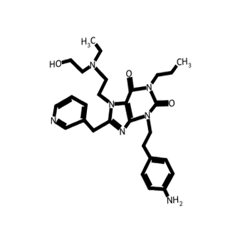 CCCn1c(=O)c2c(nc(Cc3cccnc3)n2CCN(CC)CCO)n(CCc2ccc(N)cc2)c1=O